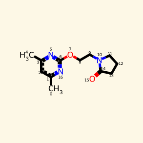 Cc1[c]c(C)nc(OCCN2CCCC2=O)n1